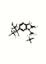 CC(C)(C)OC(=O)n1c(=O)[nH]c2ccc(C(F)(C(F)(F)F)C(F)(F)F)cc21